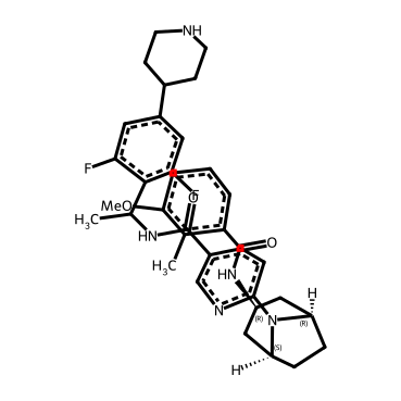 COc1cccc(C(=O)N[C@H]2C[C@H]3CC[C@@H](C2)N3c2ccc(C(=O)NC(C)c3c(F)cc(C4CCNCC4)cc3F)cn2)c1C